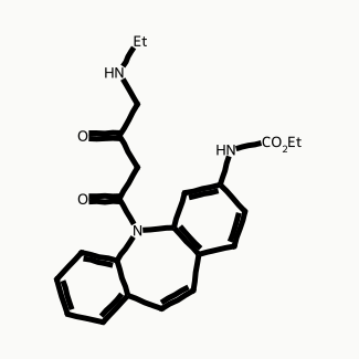 CCNCC(=O)CC(=O)N1c2ccccc2C=Cc2ccc(NC(=O)OCC)cc21